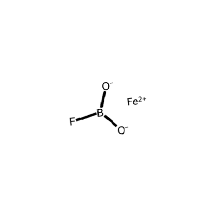 [Fe+2].[O-]B([O-])F